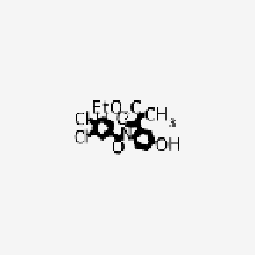 CCOC(=O)[C@H](C)c1c(C)n(C(=O)c2ccc(Cl)c(Cl)c2)c2ccc(O)cc12